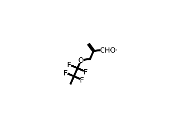 C=C([C]=O)COC(F)(F)C(C)(F)F